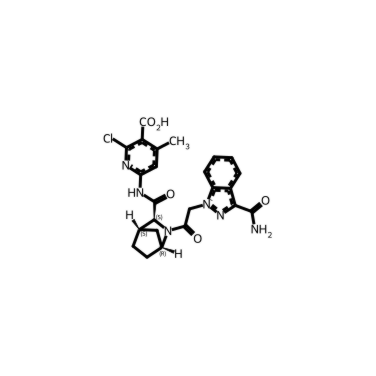 Cc1cc(NC(=O)[C@@H]2[C@H]3CC[C@H](C3)N2C(=O)Cn2nc(C(N)=O)c3ccccc32)nc(Cl)c1C(=O)O